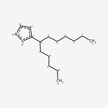 CCCCCCC(CCCCC)c1ccns1